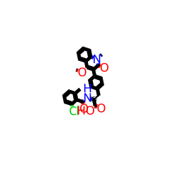 COc1c(-c2ccc(C[C@H](NC(=O)c3c(C)cccc3Cl)C(=O)O)cc2)c(=O)n(C)c2ccccc12